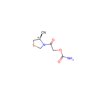 N#C[C@@H]1CSCN1C(=O)COC(N)=O